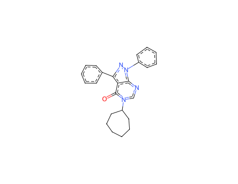 O=c1c2c(-c3ccccc3)nn(-c3ccccc3)c2ncn1C1CCCCCC1